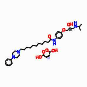 CC(C)NC[C@@H](O)COc1ccc(NC(=O)CCCCCCCCCCN2CCN(c3ccccc3)CC2)cc1.O=C(O)/C=C\C(=O)O